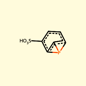 O=S(=O)(O)c1ccc2c3c1P23